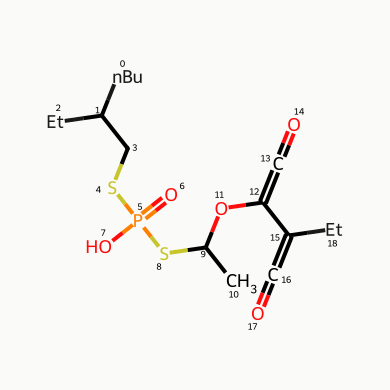 CCCCC(CC)CSP(=O)(O)SC(C)OC(=C=O)C(=C=O)CC